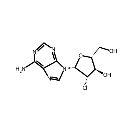 Nc1ncnc2c1ncn2[C@@H]1O[C@H](CO)[C@@H](O)[C@@H]1Cl